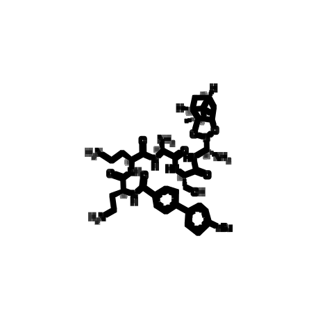 CCCCc1ccc(-c2ccc(C(=O)N[C@@H](CCN)C(=O)N[C@@H](CCN)C(=O)N[C@@H](N)C(=O)N[C@@H](CO)C(=O)N[C@@H](N)B3OC4C[C@@H]5C[C@@H](C5(C)C)[C@]4(C)O3)cc2)cc1